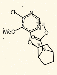 COc1c(Cl)ncnc1O[C@H]1CC2CCC1N2C(=O)OC(C)(C)C